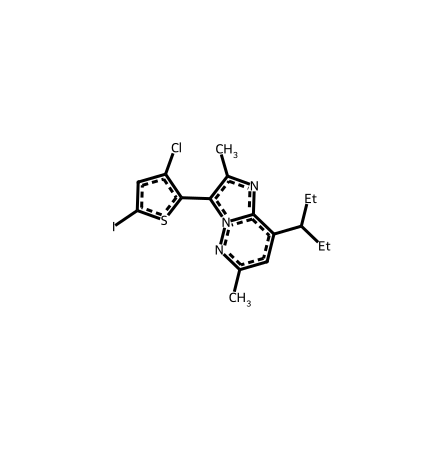 CCC(CC)c1cc(C)nn2c(-c3sc(I)cc3Cl)c(C)nc12